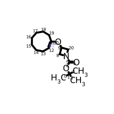 CC(C)(C)OC(=O)N1CC(O/C2=C/CCCCCCC2)C1